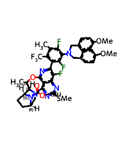 COc1ccc(CN(Cc2ccc(OC)cc2)c2c(F)c(C)c(C(F)(F)F)c(-c3nc4c5c(nc(SC)nc5c3F)N3C[C@H]5CC[C@@H]([C@H]3[C@H](C)O4)N5C(=O)OC(C)(C)C)c2F)cc1